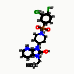 O=C(O)Cn1c(=O)n(C2CCN(S(=O)(=O)c3ccc(F)c(Cl)c3)CC2)c2ncccc21